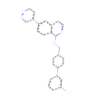 Cc1cccc(-c2ccc(CNc3nccc4cc(-c5ccnnc5)ccc34)cc2)c1